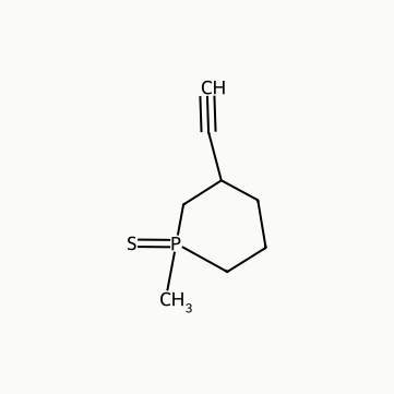 C#CC1CCCP(C)(=S)C1